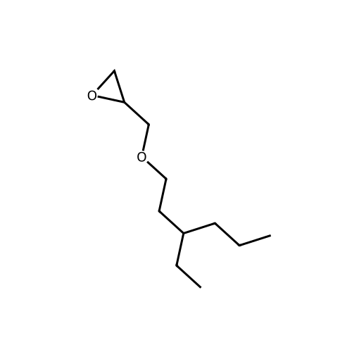 CCCC(CC)CCOCC1CO1